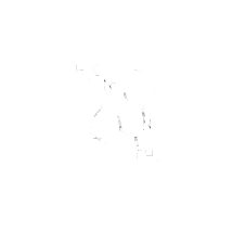 C=c1nc2c3c(n(C)c4cccc1c34)CCC2